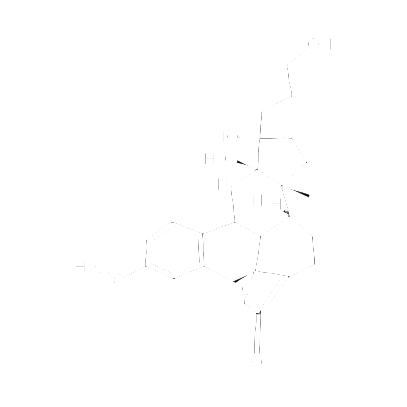 COc1ccc2c(c1)C[C@]13CCC(=O)C=C1CC[C@@H]1[C@@H]3[C@@H]2C[C@@]2(C)[C@@H]1CC[C@]2(O)CCCO